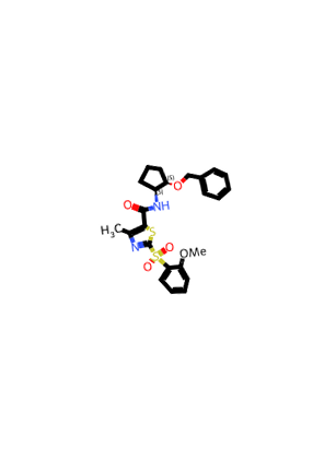 COc1ccccc1S(=O)(=O)c1nc(C)c(C(=O)N[C@H]2CCC[C@@H]2OCc2ccccc2)s1